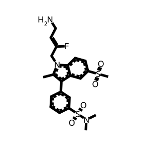 Cc1c(-c2cccc(S(=O)(=O)N(C)C)c2)c2cc(S(C)(=O)=O)ccc2n1CC(F)=CCN